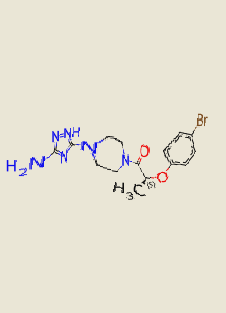 C[C@H](Oc1ccc(Br)cc1)C(=O)N1CCN(c2nc(N)n[nH]2)CC1